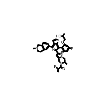 C=C(F)C(=O)N1Cc2cc(-c3nc(-c4ccc5c(c4)CCN(C)C5)c4ccsc4c3-c3c(F)cc(F)cc3OCC(C)O)nn2CC1C